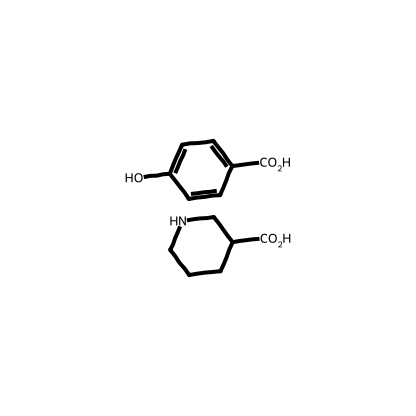 O=C(O)C1CCCNC1.O=C(O)c1ccc(O)cc1